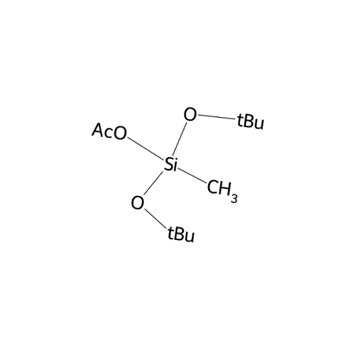 CC(=O)O[Si](C)(OC(C)(C)C)OC(C)(C)C